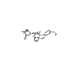 Cn1ccc(NC(=O)N[C@@H](c2ccc(CF)cc2)c2ncccc2F)cc1=O